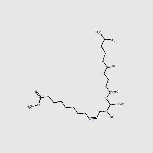 CCCCCC(OC(=O)CCCC(=O)OCCN(C)C)C(O)C/C=C\CCCCCCCC(=O)ON